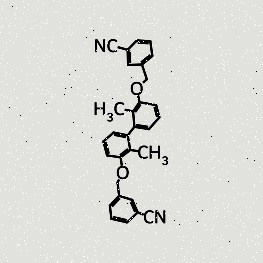 Cc1c(OCc2cccc(C#N)c2)cccc1-c1cccc(OCc2cccc(C#N)c2)c1C